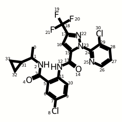 CC(NC(=O)c1cc(Cl)ccc1NC(=O)c1cc(C(F)(F)F)nn1-c1ncccc1Cl)C1CC1